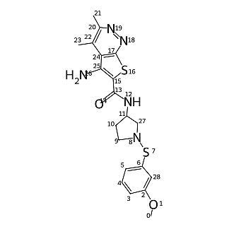 COc1cccc(SN2CCC(NC(=O)c3sc4nnc(C)c(C)c4c3N)C2)c1